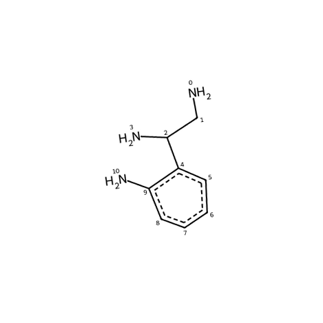 NCC(N)c1ccccc1N